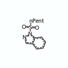 CCCCCS(=O)(=O)n1ncc2ccccc21